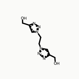 OCc1cn(CCn2cc(CO)nn2)nn1